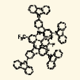 Fc1c(F)c(F)c(-c2c(-n3c4ccc(-n5c6ccccc6c6ccccc65)cc4c4cc(-n5c6ccccc6c6ccccc65)ccc43)cc(C(F)(F)F)cc2-n2c3ccc(-n4c5ccccc5c5ccccc54)cc3c3cc(-n4c5ccccc5c5ccccc54)ccc32)c(F)c1F